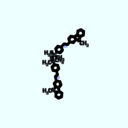 Cn1c2ccccc2c2ccc(/C=C/c3ccc([Si](C)(C)O[Si](C)(C)c4ccc(/C=C/c5ccc6c7ccccc7n(C)c6c5)cc4)cc3)cc21